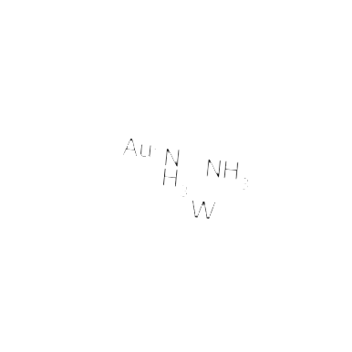 N.N.[Au].[W]